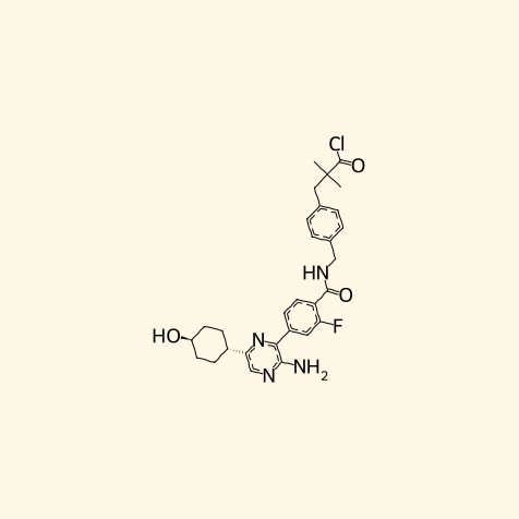 CC(C)(Cc1ccc(CNC(=O)c2ccc(-c3nc([C@H]4CC[C@H](O)CC4)cnc3N)cc2F)cc1)C(=O)Cl